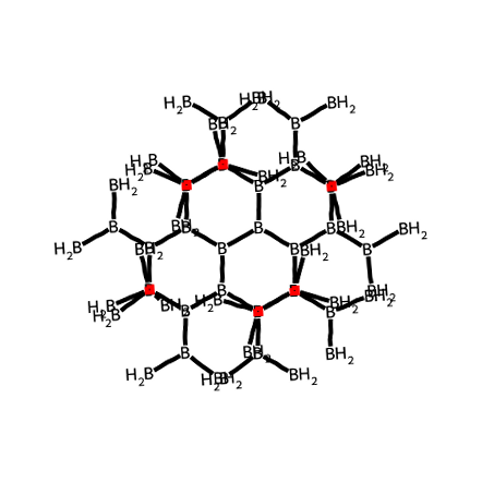 BB(B)B(B)B(B(B(B)B)B(B)B)B(B(B(B(B)B)B(B)B)B(B(B)B)B(B)B)B(B(B(B(B)B)B(B)B)B(B(B)B)B(B)B)B(B(B(B)B)B(B)B)B(B(B)B)B(B)B